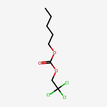 CCCCCOC(=O)OCC(Cl)(Cl)Cl